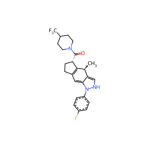 C[C@H]1C2=CNN(c3ccc(F)cc3)C2=CC2=C1[C@@H](C(=O)N1CCC(C(F)(F)F)CC1)CC2